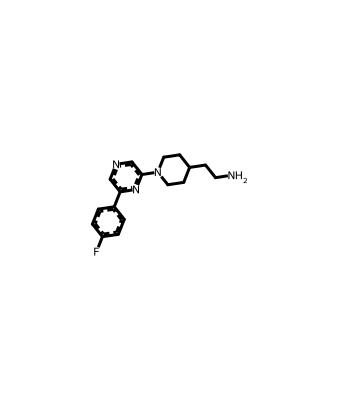 NCCC1CCN(c2cncc(-c3ccc(F)cc3)n2)CC1